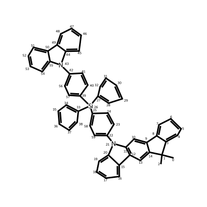 CC1(C)c2ccccc2-c2cc3c(cc21)c1ccccc1n3-c1ccc([Si](c2ccccc2)(c2ccccc2)c2ccc(-n3c4ccccc4c4ccccc43)cc2)cc1